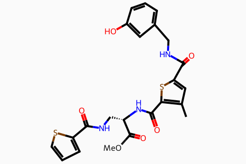 COC(=O)[C@H](CNC(=O)c1cccs1)NC(=O)c1sc(C(=O)NCc2cccc(O)c2)cc1C